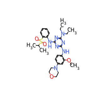 CCN(CC)c1nc(Nc2ccc(N3CCOCC3)cc2OC)nc(Nc2ccccc2S(=O)(=O)C(C)C)n1